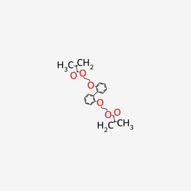 C=C(C)C(=O)OCCOc1ccccc1-c1ccccc1OCCOC(=O)C(=C)C